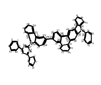 c1ccc(-c2cc(-c3ccccc3)nc(-n3c4ccccc4c4cc(-c5ccc6c(c5)c5ccccc5c5cc7c(cc65)c5ccccc5n7-c5ccccc5)ccc43)n2)cc1